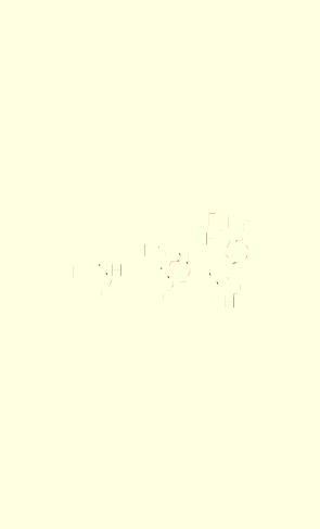 CNC(=O)C1CCC(n2c(S)nc3c(c2=O)C[C@@H](C)N(C(=O)c2ccc(Cl)c(C(F)(F)F)c2)C3)CC1